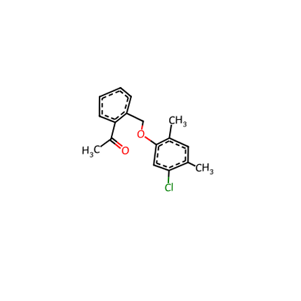 CC(=O)c1ccccc1COc1cc(Cl)c(C)cc1C